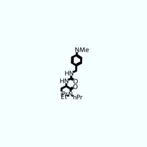 CCCN(CC)C(=O)C(CC(C)C)NC(=O)NCc1ccc(NC)cc1